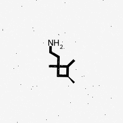 CC1[C@@H](C)CC1(C)CCN